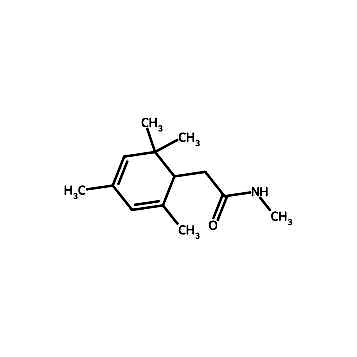 CNC(=O)CC1C(C)=CC(C)=CC1(C)C